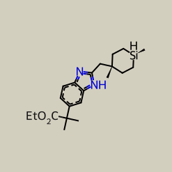 CCOC(=O)C(C)(C)c1ccc2nc(C[C@]3(C)CC[Si@@H](C)CC3)[nH]c2c1